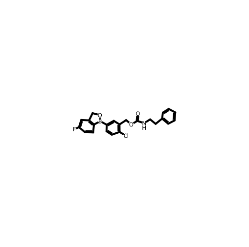 O=C(NCCc1ccccc1)OCc1cc(B2OCc3cc(F)ccc32)ccc1Cl